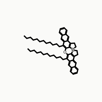 CCCCCCCCCCCCc1c(Oc2c3c(c4cc5ccccc5cc4c2CCCCCCCCCCCC)CCO3)c2c(c3cc4ccccc4cc13)CCO2